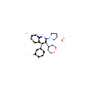 Cc1cc(-c2c(C3CCOCC3)c(N3CC[C@H](C(=O)O)C3)nc3cc(O)ccc23)ccc1F